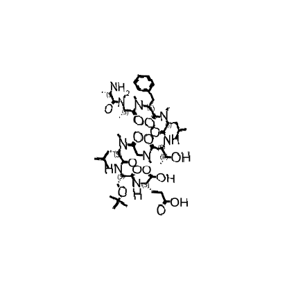 CC(C)C[C@@H](C(=O)N[C@@H](COC(C)(C)C)C(=O)N[C@@H](CCC(=O)O)C(=O)O)N(C)C(=O)CN(C)C(=O)[C@@H](NC(=O)[C@H](CC(C)C)N(C)C(=O)[C@H](Cc1ccccc1)N(C)C(=O)[C@H](C)N(C)C(=O)[C@H](C)N)[C@@H](C)O